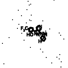 Oc1cc(C(F)(F)F)ccc1-c1nnc(N[C@H]2C[C@@H]3CC[C@H]2O3)c2cnccc12